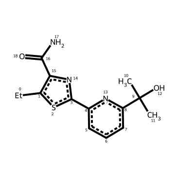 CCc1sc(-c2cccc(C(C)(C)O)n2)nc1C(N)=O